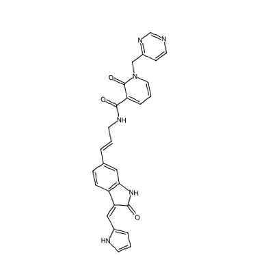 O=C1Nc2cc(C=CCNC(=O)c3cccn(Cc4ccncn4)c3=O)ccc2C1=Cc1ccc[nH]1